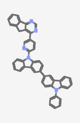 c1ccc(-n2c3ccccc3c3cc(-c4ccc5c(c4)c4ccccc4n5-c4ccc(-c5ncnc6c5Cc5ccccc5-6)cn4)ccc32)cc1